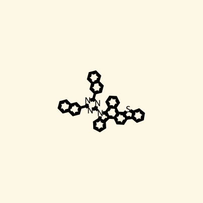 c1ccc2cc(-c3nc(-c4ccc5ccccc5c4)nc(-n4c5ccccc5c5c6ccc7c8ccccc8sc7c6c6ccccc6c54)n3)ccc2c1